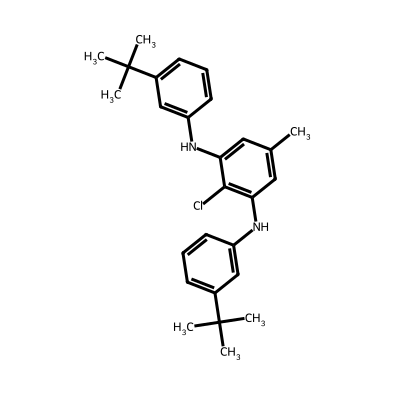 Cc1cc(Nc2cccc(C(C)(C)C)c2)c(Cl)c(Nc2cccc(C(C)(C)C)c2)c1